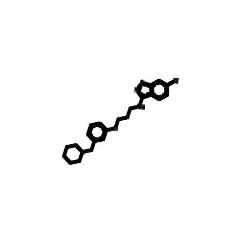 Clc1ccc2c(NCCCOc3cccc(CN4CCCCC4)c3)nsc2c1